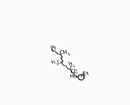 CCN1CCCC(NC(=O)/C=C(\C)CCCC(C)CCCC(C)CCCC(C)C)C1